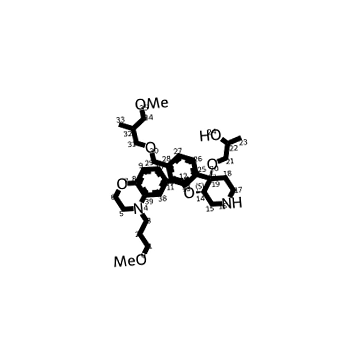 COCCCN1CCOc2ccc(CO[C@H]3CNCC[C@]3(OCC(C)O)c3ccc(COCC(C)COC)cc3)cc21